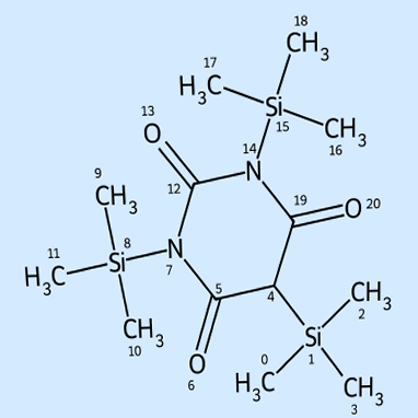 C[Si](C)(C)C1C(=O)N([Si](C)(C)C)C(=O)N([Si](C)(C)C)C1=O